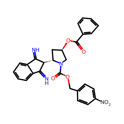 N=C1c2ccccc2C(=N)C1[C@@H]1C[C@@H](OC(=O)c2ccccc2)CN1C(=O)OCc1ccc([N+](=O)[O-])cc1